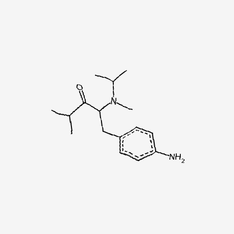 CC(C)C(=O)C(Cc1ccc(N)cc1)N(C)C(C)C